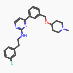 CN1CCC(OCc2cccc(-c3ccnc(NCCc4cccc(F)c4)n3)c2)CC1